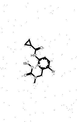 CN(Cc1nc(NC(=O)C2CC2)ccc1Br)C(=O)OC(C)(C)C